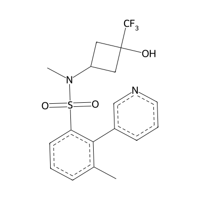 Cc1cccc(S(=O)(=O)N(C)C2CC(O)(C(F)(F)F)C2)c1-c1cccnc1